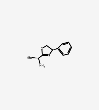 CC(C)(C)[C@H](N)C1=N[C@H](c2ccccc2)CO1